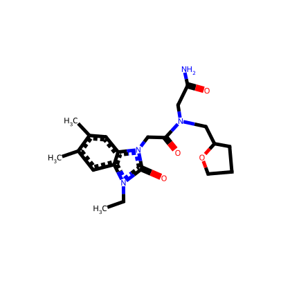 CCn1c(=O)n(CC(=O)N(CC(N)=O)CC2CCCO2)c2cc(C)c(C)cc21